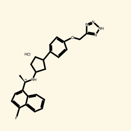 C[C@@H](NC1CCC(c2ccc(OCc3nn[nH]n3)cc2)C1)c1ccc(F)c2ccccc12.Cl